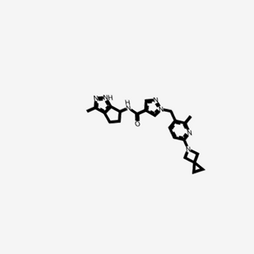 Cc1nc(N2CC3(CC3)C2)ccc1Cn1cc(C(=O)NC2CCc3c(C)n[nH]c32)cn1